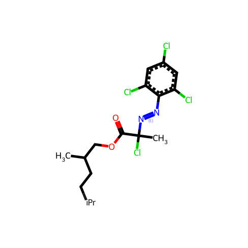 CC(C)CCC(C)COC(=O)C(C)(Cl)/N=N/c1c(Cl)cc(Cl)cc1Cl